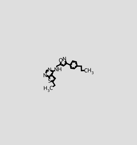 CCCc1ccc(-c2cc(CNc3ncnc4sc(CC)cc34)on2)cc1